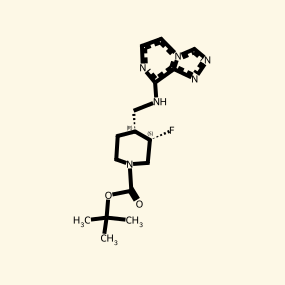 CC(C)(C)OC(=O)N1CC[C@H](CNc2nccn3cnnc23)[C@H](F)C1